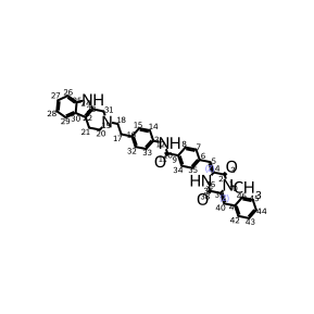 Cn1c(=O)/c(=C/c2ccc(C(=O)Nc3ccc(CCN4CCc5c([nH]c6ccccc56)C4)cc3)cc2)[nH]c(=O)/c1=C/c1ccccc1